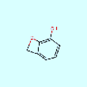 Oc1cccc2c1OC2